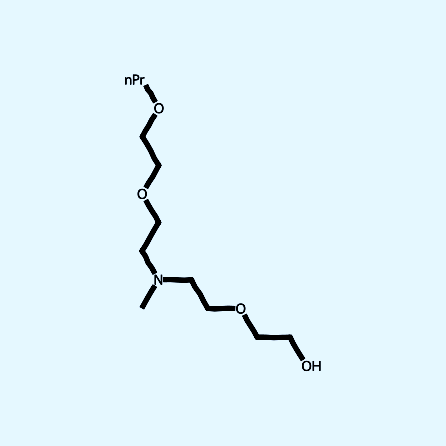 CCCOCCOCCN(C)CCOCCO